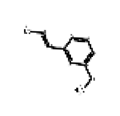 CC/C=C/c1cccc(CN)c1